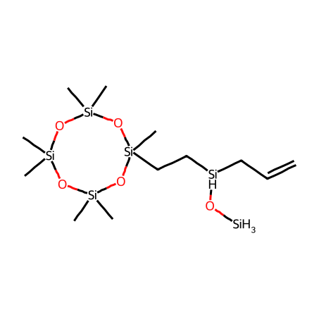 C=CC[SiH](CC[Si]1(C)O[Si](C)(C)O[Si](C)(C)O[Si](C)(C)O1)O[SiH3]